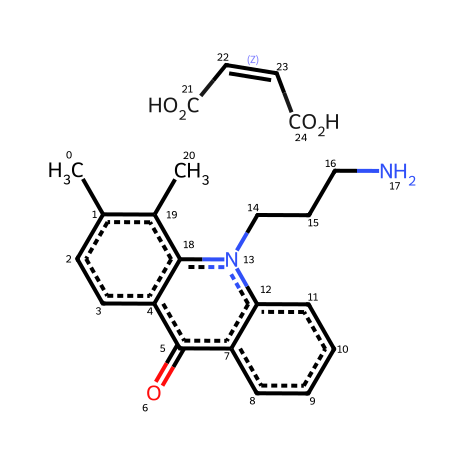 Cc1ccc2c(=O)c3ccccc3n(CCCN)c2c1C.O=C(O)/C=C\C(=O)O